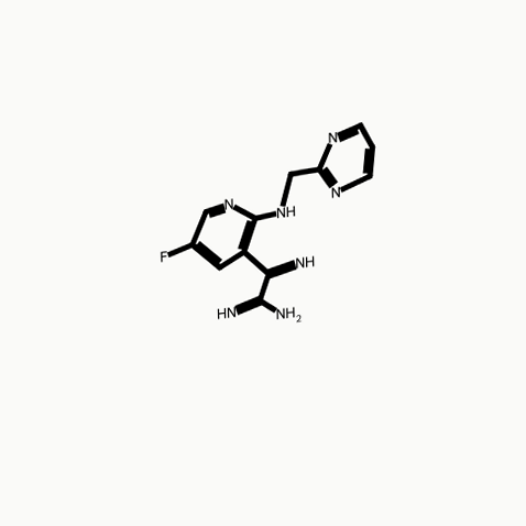 N=C(N)C(=N)c1cc(F)cnc1NCc1ncccn1